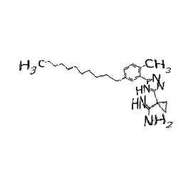 CCCCCCCCCCCc1ccc(C)c(-c2nnc(C3(C(=N)N)CC3)[nH]2)c1